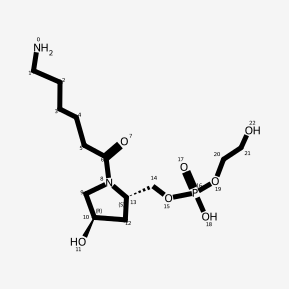 NCCCCCC(=O)N1C[C@H](O)C[C@H]1COP(=O)(O)OCCO